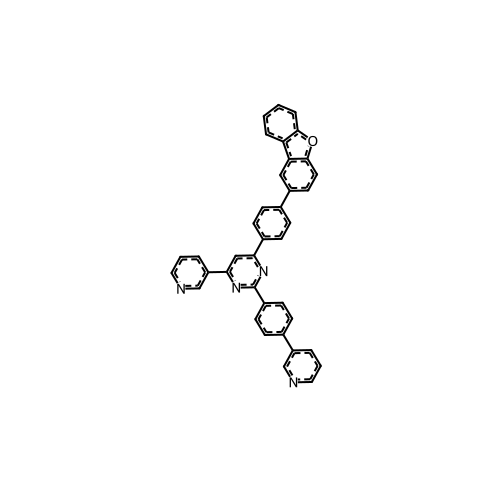 c1cncc(-c2ccc(-c3nc(-c4ccc(-c5ccc6oc7ccccc7c6c5)cc4)cc(-c4cccnc4)n3)cc2)c1